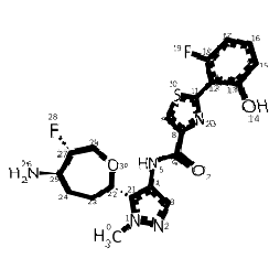 Cn1ncc(NC(=O)c2csc(-c3c(O)cccc3F)n2)c1[C@@H]1CC[C@@H](N)[C@H](F)CO1